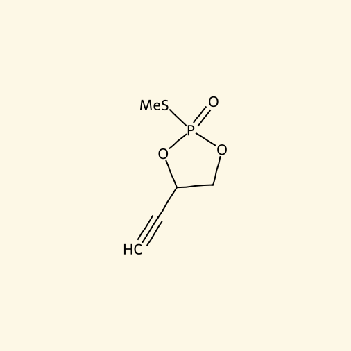 C#CC1COP(=O)(SC)O1